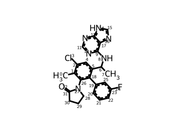 Cc1c(Cl)cc(C(C)Nc2ncnc3[nH]cnc23)c(-c2cccc(F)c2)c1N1CCCC1=O